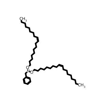 CCCCCCCC/C=C\CCCCCCCCON(Cc1ccccc1)OCCCCCCCC/C=C\CCCCCCCC